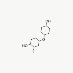 OC1CCC(OC2CCC(O)C(I)C2)CC1